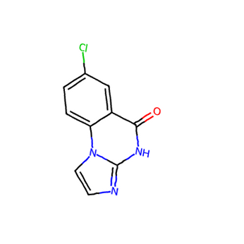 O=c1[nH]c2nccn2c2ccc(Cl)cc12